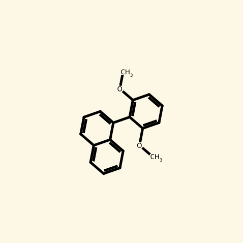 COc1cccc(OC)c1-c1cccc2ccccc12